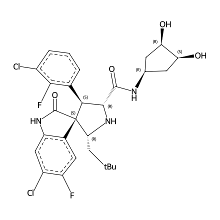 CC(C)(C)C[C@H]1N[C@@H](C(=O)N[C@H]2C[C@@H](O)[C@@H](O)C2)[C@H](c2cccc(Cl)c2F)[C@@]12C(=O)Nc1cc(Cl)c(F)cc12